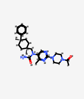 CC(=O)N1CCN(c2ncc(N(C[C@]3(C)CC[C@](C)(c4ccccc4)CC3)C(N)=O)c(C)n2)CC1